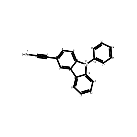 SC#Cc1ccc2c(c1)c1ccccc1n2-c1ccccc1